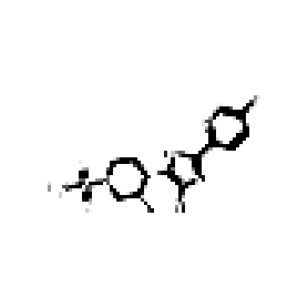 C[C@H]1CN(S(N)(=O)=O)CC[C@H]1c1[nH]c(-c2ccc(F)cn2)nc1Cl